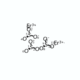 O=S([O-])[O-].O=S([O-])[O-].O=S([O-])[O-].[Er+3].[Er+3]